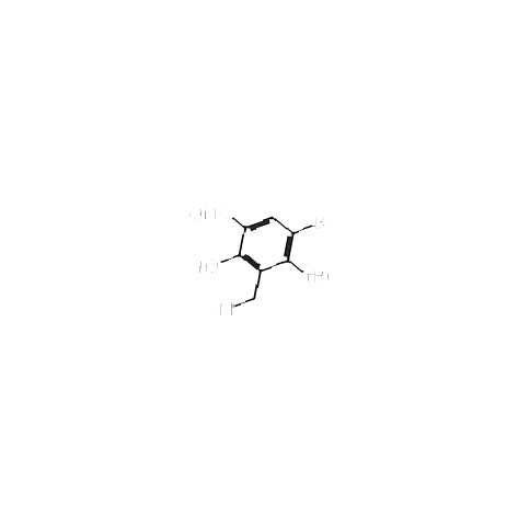 [2H]Cc1c(O)c(C=O)cc(Br)c1C(C)(C)C